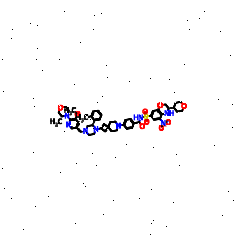 COc1cc(CN2CCN(C3CC4(CCN(c5ccc(C(=O)NS(=O)(=O)c6cc7c(c([N+](=O)[O-])c6)N[C@H](C6CCOCC6)CO7)cc5)CC4)C3)[C@H](c3ccccc3C)C2)cnc1N1CCOC[C@H]1C